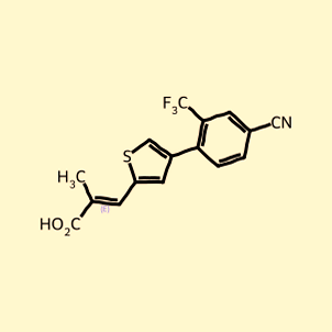 C/C(=C\c1cc(-c2ccc(C#N)cc2C(F)(F)F)cs1)C(=O)O